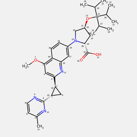 COc1cc([C@H]2C[C@@H]2c2nccc(C)n2)nc2cc(N3C[C@@H](O[Si](C(C)C)(C(C)C)C(C)C)C[C@@H]3C(=O)O)ccc12